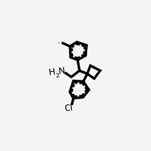 [CH2]c1cccc(C(CN)C2(c3ccc(Cl)cc3)CCC2)c1